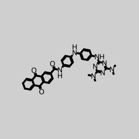 CN(C)c1nc(Nc2ccc(Nc3ccc(NC(=O)c4ccc5c(c4)C(=O)C4=CCCC=C4C5=O)cc3)cc2)nc(N(C)C)n1